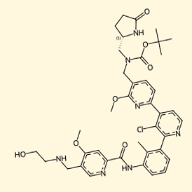 COc1cc(C(=O)Nc2cccc(-c3nccc(-c4ccc(CN(C[C@@H]5CCC(=O)N5)C(=O)OC(C)(C)C)c(OC)n4)c3Cl)c2C)ncc1CNCCO